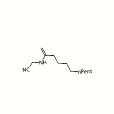 C=C(CCCCCCCCC)NCC#N